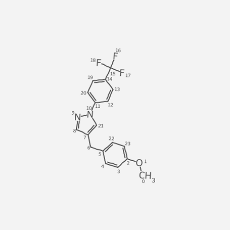 COc1ccc(Cc2cnn(-c3ccc(C(F)(F)F)cc3)c2)cc1